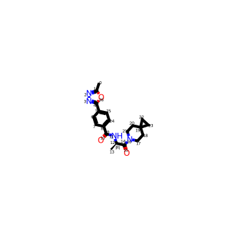 Cc1nnc(-c2ccc(C(=O)N[C@H](C)C(=O)N3CCC4(CC3)CC4)cc2)o1